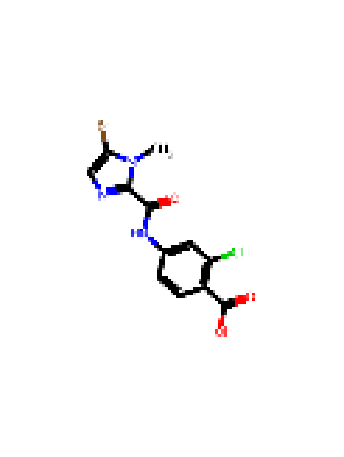 Cn1c(Br)cnc1C(=O)Nc1ccc(C(=O)O)c(Cl)c1